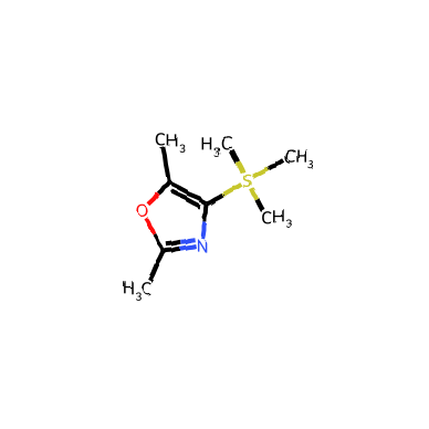 Cc1nc(S(C)(C)C)c(C)o1